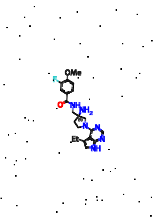 CCc1c[nH]c2ncnc(N3CC[C@](N)(CNC(=O)c4ccc(OC)c(F)c4)C3)c12